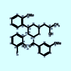 COc1cccc(C(=O)[C@H]2CN(C[C@@H](C)O)C[C@H](c3[c]cccc3OC)[C@H]2c2cccc(F)c2C)c1